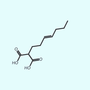 CCC/C=C/CCC(C(=O)O)C(=O)O